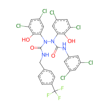 O=C(NCc1ccc(C(F)(F)F)cc1)N(c1cc(Cl)cc(Cl)c1O)N(C(=O)Nc1cc(Cl)cc(Cl)c1)c1cc(Cl)cc(Cl)c1O